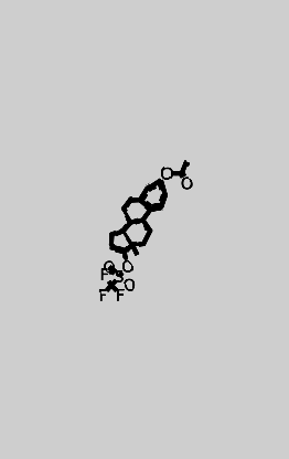 CC(=O)Oc1ccc2c(c1)CCC1C2CCC2(C)C(OS(=O)(=O)C(F)(F)F)=CCC12